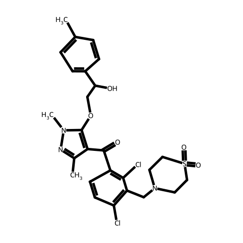 Cc1ccc(C(O)COc2c(C(=O)c3ccc(Cl)c(CN4CCS(=O)(=O)CC4)c3Cl)c(C)nn2C)cc1